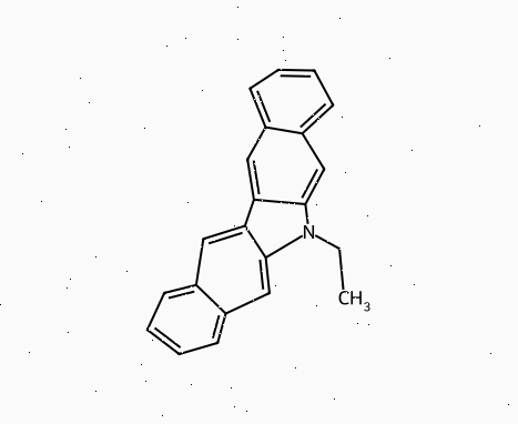 CCn1c2cc3ccccc3cc2c2cc3ccccc3cc21